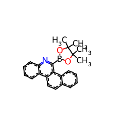 CC1(C)OB(c2nc3ccccc3c3ccc4ccccc4c23)OC1(C)C